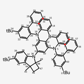 CC(C)(C)c1ccc(N2c3ccccc3B3c4ccccc4N(c4ccc(C(C)(C)C)cc4-c4ccccc4)c4cc(N5c6ccc(C(C)(C)C)cc6C6(C)CCC56C)cc2c43)c(-c2ccccc2)c1